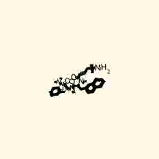 CN(C)NC(=O)[C@@H](Cc1ccccc1)N(C)C(=O)C(Cc1ccc2ccccc2c1)N(C)C(=O)/C=C/CC(C)(C)N